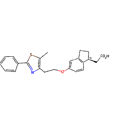 Cc1sc(-c2ccccc2)nc1CCOc1ccc2c(c1)CC[C@H]2CC(=O)O